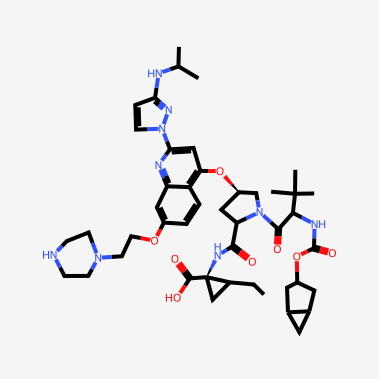 CCC1C[C@]1(NC(=O)C1C[C@@H](Oc2cc(-n3ccc(NC(C)C)n3)nc3cc(OCCN4CCNCC4)ccc23)CN1C(=O)C(NC(=O)OC1CC2CC2C1)C(C)(C)C)C(=O)O